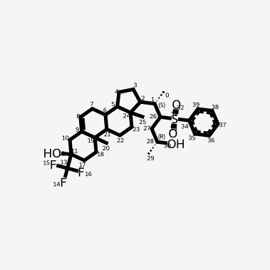 C[C@@H](C1CCC2C3CC=C4CC(O)(C(F)(F)F)CCC4(C)C3CCC21C)C(C[C@@H](C)O)S(=O)(=O)c1ccccc1